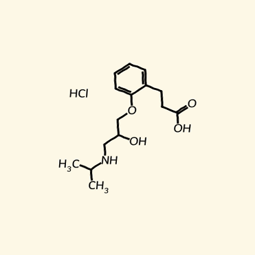 CC(C)NCC(O)COc1ccccc1CCC(=O)O.Cl